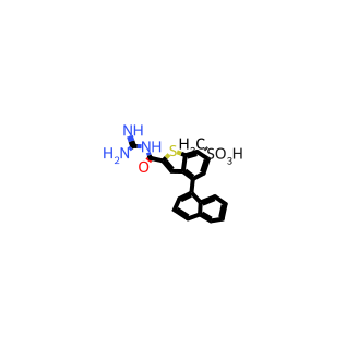 CS(=O)(=O)O.N=C(N)NC(=O)c1cc2c(-c3cccc4ccccc34)cccc2s1